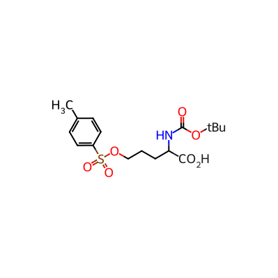 Cc1ccc(S(=O)(=O)OCCCC(NC(=O)OC(C)(C)C)C(=O)O)cc1